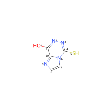 Oc1nnc(S)n2ccnc12